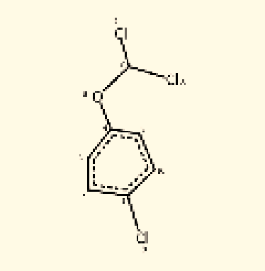 Clc1ccc(OC(Cl)Cl)cc1